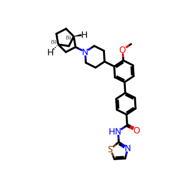 COc1ccc(-c2ccc(C(=O)Nc3nccs3)cc2)cc1C1CCN(C2C[C@H]3CC[C@H]2C3)CC1